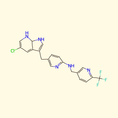 FC(F)(F)c1ccc(CNc2ccc(CC3=CNC4NC=C(Cl)C=C34)cn2)cn1